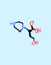 O=C(O)C(CCO)N1CCNCC1